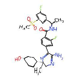 C[C@@H](NC(=O)c1ccc(C2=NC(C)([C@H]3CC[C@@H](O)CC3)CN=C2N)cc1F)c1cc(F)cc(S(C)(=O)=O)c1